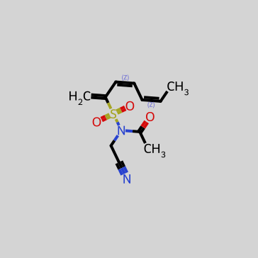 C=C(/C=C\C=C/C)S(=O)(=O)N(CC#N)C(C)=O